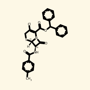 Cc1ccc(C(=O)N[C@@H]2C(=O)N3C(C(=O)OC(c4ccccc4)c4ccccc4)=C(Cl)CS[C@@H]23)cc1